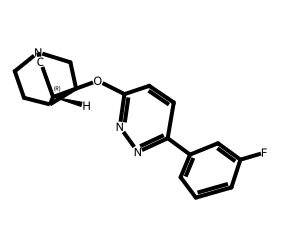 Fc1cccc(-c2ccc(O[C@H]3CN4CCC3CC4)nn2)c1